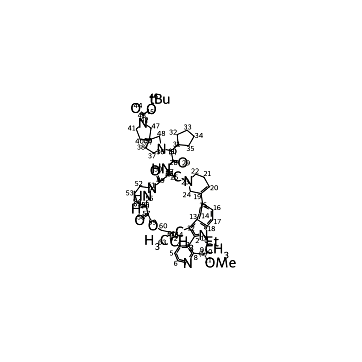 CCn1c(-c2cccnc2[C@H](C)OC)c2c3cc(ccc31)C1=CCCN(C1)C[C@H](NC(=O)[C@H](C1CCCC1)N1CC[C@]3(CCN(C(=O)OC(C)(C)C)C3)C1)C(=O)N1CCC[C@H](N1)C(=O)OCC(C)(C)C2